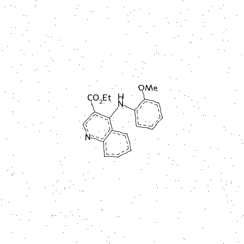 CCOC(=O)c1cnc2ccccc2c1Nc1ccccc1OC